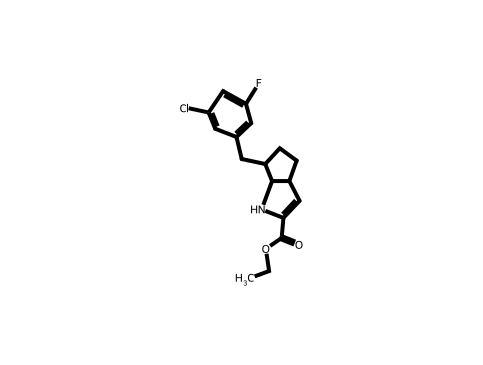 CCOC(=O)C1=CC2CCC(Cc3cc(F)cc(Cl)c3)C2N1